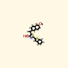 COc1ccc2cc(C(C)c3sc(-c4cc5ccccc5s4)nc3O)ccc2c1